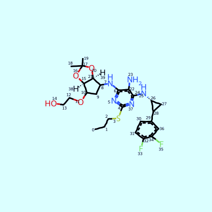 CCCSc1nc(NC2CC(OCCO)[C@H]3OC(C)(C)O[C@@H]23)c(N)c(N[C@@H]2CC2c2ccc(F)c(F)c2)n1